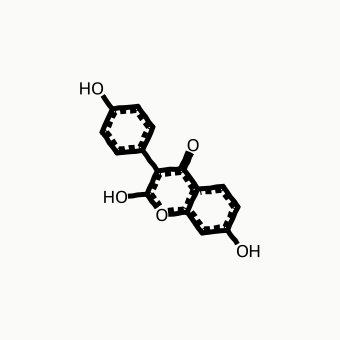 O=c1c(-c2ccc(O)cc2)c(O)oc2cc(O)ccc12